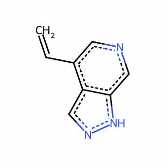 C=Cc1cncc2[nH]ncc12